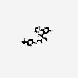 CCN(C(=O)c1cc(Cl)cnc1-n1nccn1)C(C)COc1ccc(C(F)(F)F)cn1